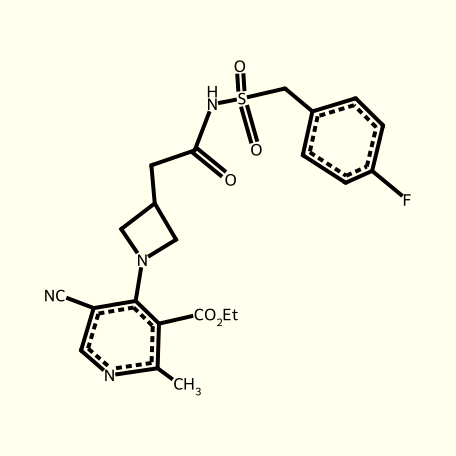 CCOC(=O)c1c(C)ncc(C#N)c1N1CC(CC(=O)NS(=O)(=O)Cc2ccc(F)cc2)C1